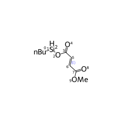 CCCC[SiH2]OC(=O)/C=C/C(=O)OC